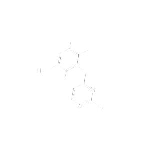 Cc1cc(F)c(F)c(Oc2ccnc(Cl)n2)c1F